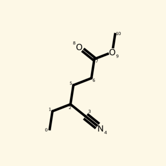 CCC(C#N)CCC(=O)OC